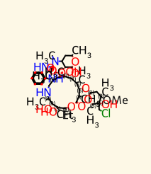 CC[C@H]1OC(=O)[C@H](C)[C@@H](O[C@H]2C[C@@](C)(OC)[C@](O)(CCl)[C@H](C)O2)[C@H](C)[C@@H](OC2OC(C)CC(N(C)C(=O)Nc3ccccc3)C2OC(=O)Nc2ccccc2)[C@](C)(O)C[C@@H](C)CN[C@H](C)[C@@H](O)[C@]1(C)O